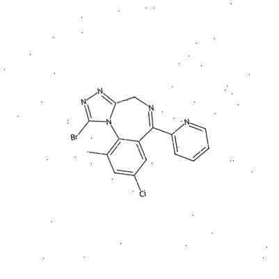 Cc1cc(Cl)cc2c1-n1c(Br)nnc1CN=C2c1ccccn1